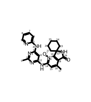 Cc1nc(Nc2ccccn2)cc(Nc2cc(C)c3c([n+]2[O-])C2(CCCCC2)NC3=O)n1